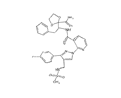 CS(=O)(=O)NCc1cn(-c2ncccc2C(=O)NC(Cc2ccccc2)C2(C(N)=O)OCCO2)nc1-c1ccc(F)cc1